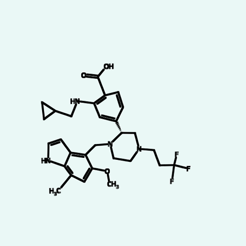 COc1cc(C)c2[nH]ccc2c1CN1CCN(CCC(F)(F)F)C[C@H]1c1ccc(C(=O)O)c(NCC2CC2)c1